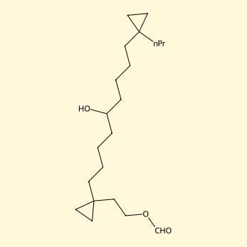 CCCC1(CCCCC(O)CCCCC2(CCOC=O)CC2)CC1